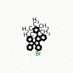 Cc1c(C)c(C)c(-c2cc3c(c4ccccc24)-c2ccc(Br)cc2C3(c2ccccc2)c2ccccc2)c(C)c1C